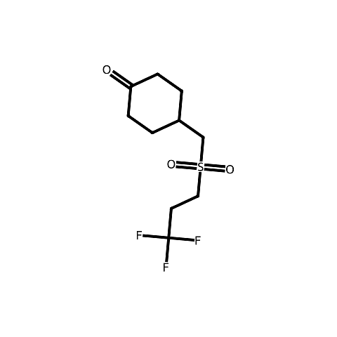 O=C1CCC(CS(=O)(=O)CCC(F)(F)F)CC1